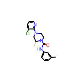 Cc1cccc(NC(=O)N2CCN(c3ncccc3Cl)C[C@H]2C)c1